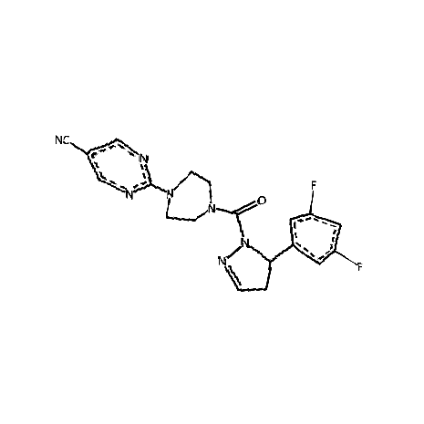 N#Cc1cnc(N2CCN(C(=O)N3N=CCC3c3cc(F)cc(F)c3)CC2)nc1